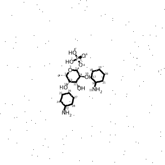 C[C@@H]1O[C@H](OP(=O)(O)O)[C@@H](O)[C@H](O)[C@@H]1O.NC1CCCCC1.NC1CCCCC1